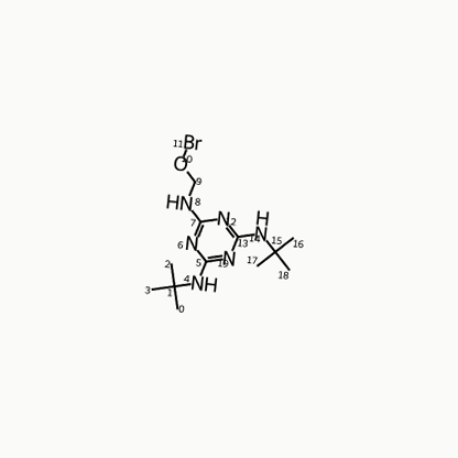 CC(C)(C)Nc1nc(NCOBr)nc(NC(C)(C)C)n1